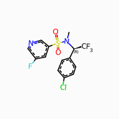 CN([C@H](c1ccc(Cl)cc1)C(F)(F)F)S(=O)(=O)c1cncc(F)c1